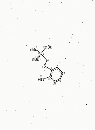 CCCC[Si](CCCC)(CCCC)CSc1ccccc1O